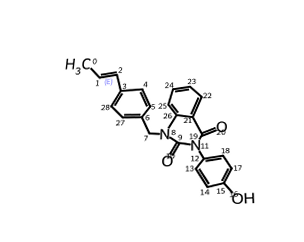 C/C=C/c1ccc(Cn2c(=O)n(-c3ccc(O)cc3)c(=O)c3ccccc32)cc1